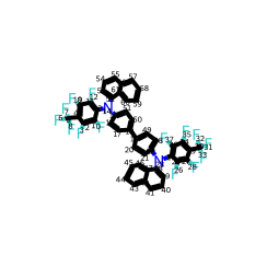 Fc1c(F)c(C(F)(F)F)c(F)c(F)c1N(c1ccc(-c2ccc(N(c3c(F)c(F)c(C(F)(F)F)c(F)c3F)c3cccc4ccccc34)cc2)cc1)c1cccc2ccccc12